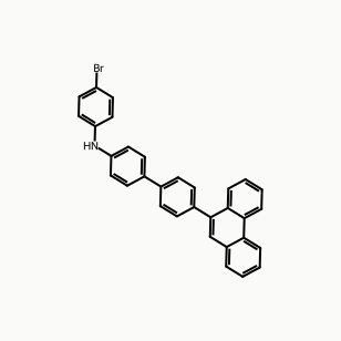 Brc1ccc(Nc2ccc(-c3ccc(-c4cc5ccccc5c5ccccc45)cc3)cc2)cc1